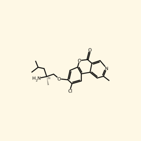 Cc1cc2c(cn1)c(=O)oc1cc(OC[C@@](C)(N)CC(C)C)c(Cl)cc12